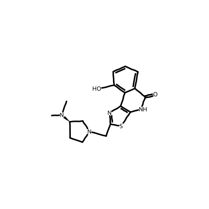 CN(C)[C@@H]1CCN(Cc2nc3c([nH]c(=O)c4cccc(O)c43)s2)C1